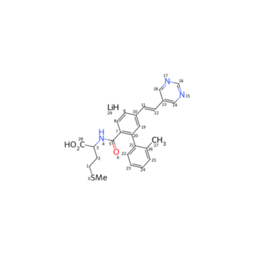 CSCCC(NC(=O)c1ccc(C=Cc2cncnc2)cc1-c1ccccc1C)C(=O)O.[LiH]